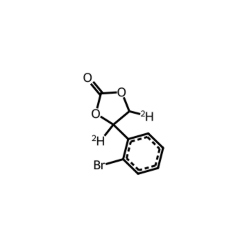 [2H]C1OC(=O)OC1([2H])c1ccccc1Br